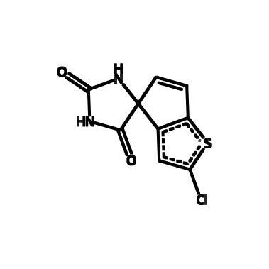 O=C1NC(=O)C2(C=Cc3sc(Cl)cc32)N1